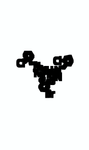 Clc1ccccc1CCN1CN=C(SCc2ccc(Br)cc2CSC2=NCN(CCc3ccccc3Cl)CN2)NC1